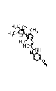 Cc1oc(-n2c(C)cc(/C=C(\C#N)c3nc4ccc(OC(C)C)cc4[nH]3)c2C)c(C#N)c1C